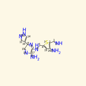 N=Cc1sc(CNc2nc(-c3cn[nH]c3)cnc2N)cc1N